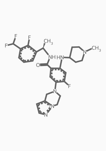 C[C@@H](NC(=O)c1cc(N2CCn3nccc3C2)c(F)cc1NC1CCN(C)CC1)c1cccc(C(F)F)c1F